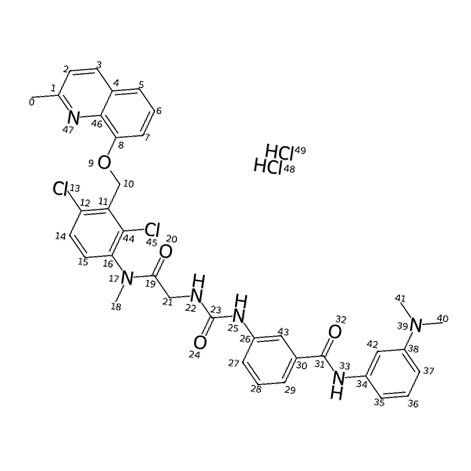 Cc1ccc2cccc(OCc3c(Cl)ccc(N(C)C(=O)CNC(=O)Nc4cccc(C(=O)Nc5cccc(N(C)C)c5)c4)c3Cl)c2n1.Cl.Cl